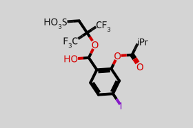 CC(C)C(=O)Oc1cc(I)ccc1C(O)OC(CS(=O)(=O)O)(C(F)(F)F)C(F)(F)F